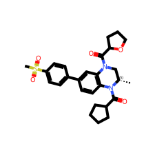 C[C@H]1CN(C(=O)C2CCCO2)c2cc(-c3ccc(S(C)(=O)=O)cc3)ccc2N1C(=O)C1CCCC1